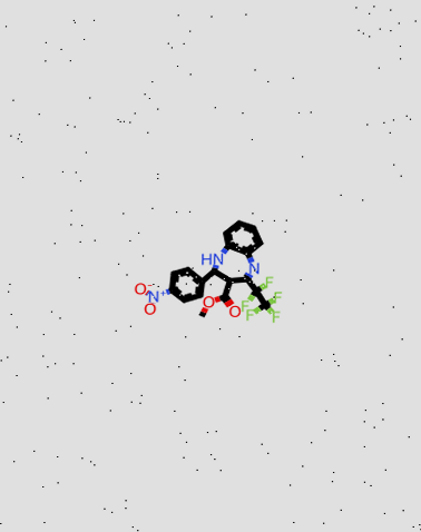 COC(=O)C1C(C(F)(F)C(F)(F)F)=Nc2ccccc2NC1c1ccc([N+](=O)[O-])cc1